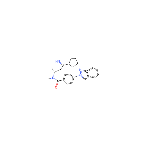 C[C@H](CC(=N)C1CCCC1)N(C)C(=O)c1ccc(-n2cc3ccccc3n2)cc1